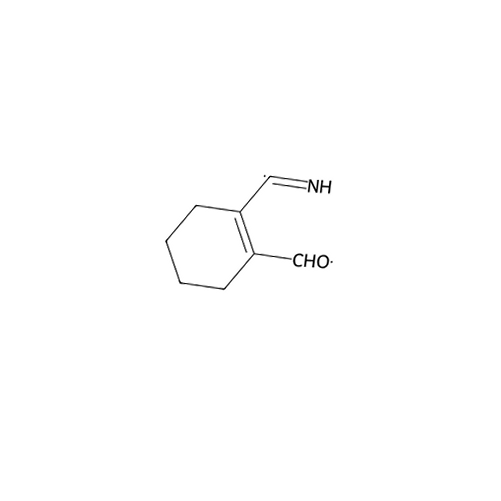 N=[C]C1=C([C]=O)CCCC1